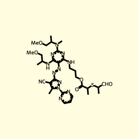 COCC(C)Nc1nc(N(C)C(C)COC)nc(NCCCOC(=O)C(C)SC(C)C=O)c1N=Nc1nn(-c2ncccn2)c(C)c1C#N